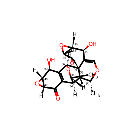 C[C@H]1O[C@H]2C3=C(C(=O)[C@@H]4O[C@@H]4[C@H]3O)[C@@H]1[C@H]1[C@@H](C)OC=C3[C@H](O)[C@H]4O[C@H]4C(=O)[C@@]312